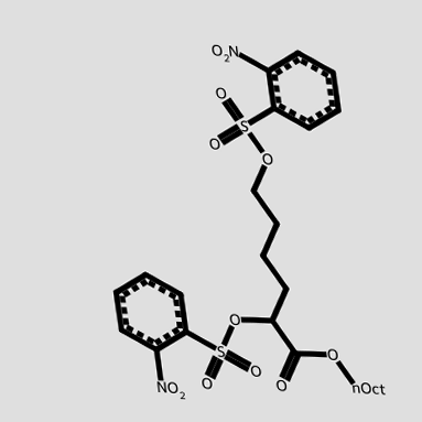 CCCCCCCCOC(=O)C(CCCCOS(=O)(=O)c1ccccc1[N+](=O)[O-])OS(=O)(=O)c1ccccc1[N+](=O)[O-]